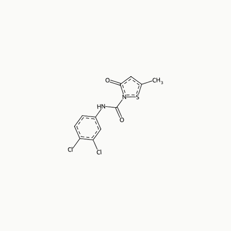 Cc1cc(=O)n(C(=O)Nc2ccc(Cl)c(Cl)c2)s1